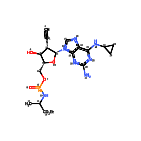 C#C[C@H]1[C@H](O)[C@@H](CO[PH](=O)NC(C)C(=O)OCC)O[C@H]1n1cnc2c(NC3CC3)nc(N)nc21